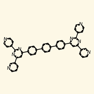 c1cncc(-c2cc(-c3ccc(-c4ccc(-c5ccc(-c6cc(-c7cccnc7)nc(-c7ccncc7)n6)cc5)cc4)cc3)nc(-c3ccncc3)n2)c1